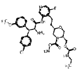 CC(C)(C)OC(=O)N1C[C@@H](CCc2c(F)cncc2NC(=O)[C@@H](N)[C@@H](c2ccc(Cl)cc2)c2cccc(OC(F)(F)F)c2)OC[C@H]1COC(=O)NCC(F)(F)F